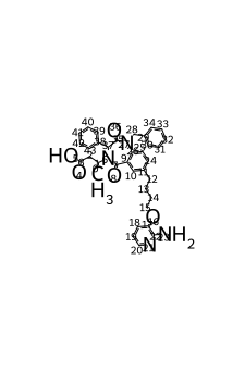 CC(CC(=O)O)N1C(=O)c2cc(CCCCOc3cccnc3N)ccc2N(Cc2ccccc2)C(=O)C1c1ccccc1